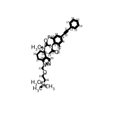 CN1C(=O)N(c2c(F)cc(C#Cc3ccccc3)cc2F)C(=O)C[C@]12CCCc1c2cnn1COCC[Si](C)(C)C